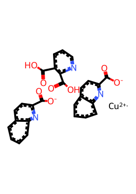 O=C(O)c1cccnc1C(=O)O.O=C([O-])c1ccc2ccccc2n1.O=C([O-])c1ccc2ccccc2n1.[Cu+2]